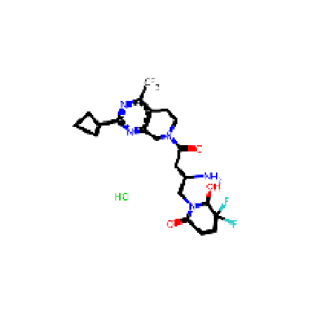 Cl.NC(CC(=O)N1CCc2c(nc(C3CCC3)nc2C(F)(F)F)C1)CN1C(=O)CCC(F)(F)C1O